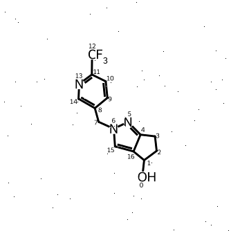 OC1CCc2nn(Cc3ccc(C(F)(F)F)nc3)cc21